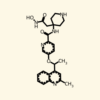 Cc1cc(C(C)Oc2ccc(C(=O)NC3(CC(=O)NO)CCNCC3)nc2)c2ccccc2n1